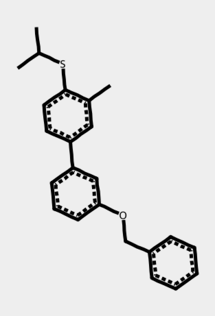 Cc1cc(-c2cccc(OCc3ccccc3)c2)ccc1SC(C)C